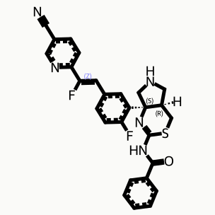 N#Cc1ccc(/C(F)=C/c2ccc(F)c([C@]34CNC[C@H]3CSC(NC(=O)c3ccccc3)=N4)c2)nc1